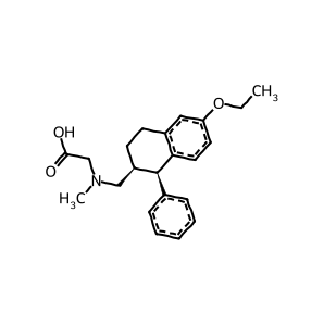 CCOc1ccc2c(c1)CC[C@H](CN(C)CC(=O)O)[C@@H]2c1ccccc1